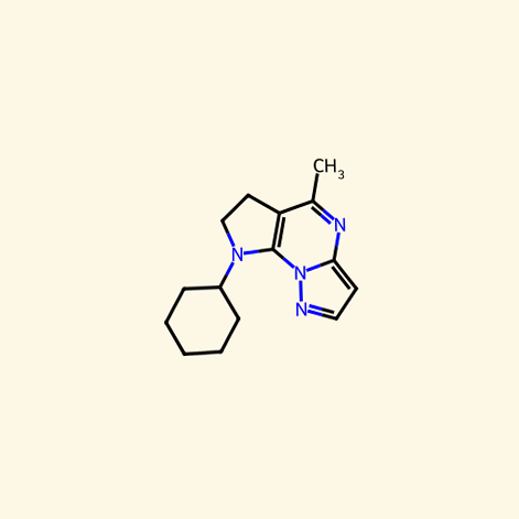 Cc1nc2ccnn2c2c1CCN2C1CCCCC1